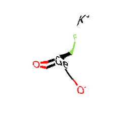 [K+].[O]=[Ge]([O-])[F]